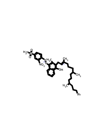 C/C(=C\Cc1c(C)c(/N=N/c2ccc(S(N)(=O)=O)cc2[N+](=O)[O-])c2ccccc2c1O)CCCC(C)CCCC(C)CCCC(C)C